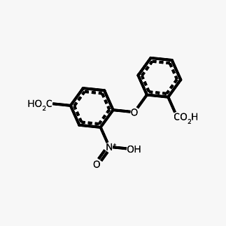 O=C(O)c1ccc(Oc2ccccc2C(=O)O)c([N+](=O)O)c1